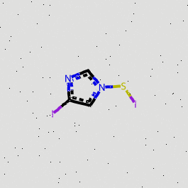 ISn1cnc(I)c1